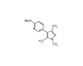 COc1ccc(-c2c(C)nn(C)c2C)cn1